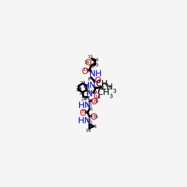 CC(C)(C)[C@H](NC(=O)CNC(=O)c1ccco1)C(=O)N1C2CCCCC2C[C@H]1C(=O)NCC(=O)C(=O)NC1CC1